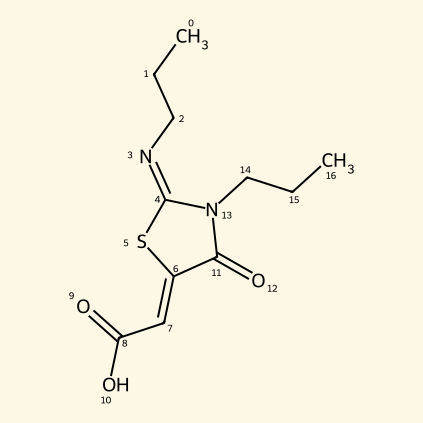 CCCN=C1SC(=CC(=O)O)C(=O)N1CCC